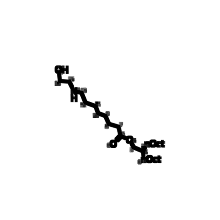 CCCCCCCCC(CCCCCCCC)COC(=O)CCCCCCCNCCO